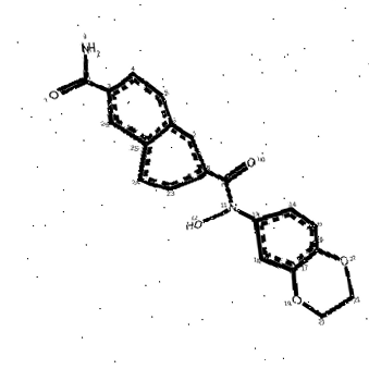 NC(=O)c1ccc2cc(C(=O)N(O)c3ccc4c(c3)OCCO4)ccc2c1